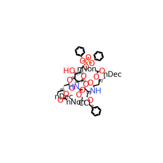 CCCCCCCCCCC[C@H](CC(=O)N[C@@H](COCc1ccccc1)CO[C@@H]1O[C@H](COP(=O)(Oc2ccccc2)Oc2ccccc2)[C@@H](O)[C@H](OC(=O)C[C@@H](CCCCCCCCCCC)OC(=O)CCCCCCCCC)[C@H]1NC(=O)OCC(Cl)(Cl)Cl)OC(=O)CCCCCCCCC